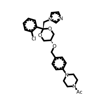 CC(=O)N1CCN(c2ccc(CO[C@H]3CO[C@@](Cn4ccnc4)(c4ccccc4Cl)OC3)cc2)CC1